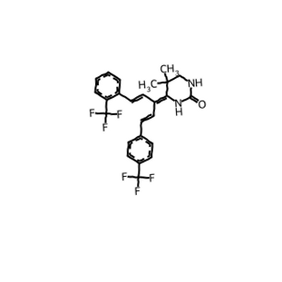 CC1(C)CNC(=O)NC1=C(C=Cc1ccc(C(F)(F)F)cc1)C=Cc1ccccc1C(F)(F)F